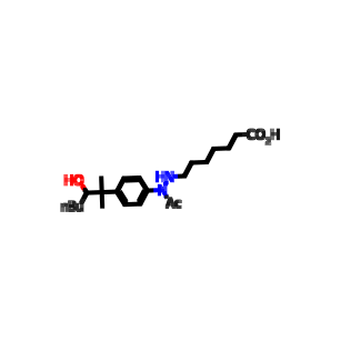 CCCCC(O)C(C)(C)c1ccc(N(NCCCCCCC(=O)O)C(C)=O)cc1